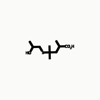 CC(O)CSC(C)(C)CC(C)C(=O)O